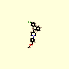 CCOC(=O)c1ccc(N2CCC(C(=O)c3ccccc3-c3ccc(Cl)cc3)CC2)cc1